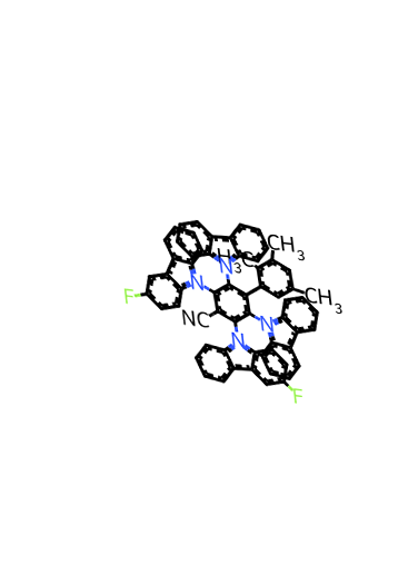 Cc1cc(C)c(C)c(-c2c(-n3c4ccccc4c4ccccc43)c(-n3c4ccccc4c4cc(F)ccc43)c(C#N)c(-n3c4ccccc4c4cc(F)ccc43)c2-n2c3ccccc3c3ccccc32)c1